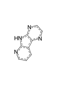 c1cnc2[nH]c3nccnc3c2c1